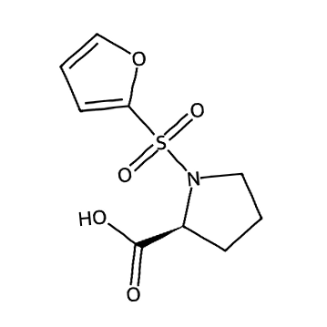 O=C(O)[C@@H]1CCCN1S(=O)(=O)c1ccco1